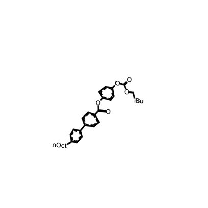 CCCCCCCCc1ccc(-c2ccc(C(=O)Oc3ccc(OC(=O)OCC(C)CC)cc3)cc2)cc1